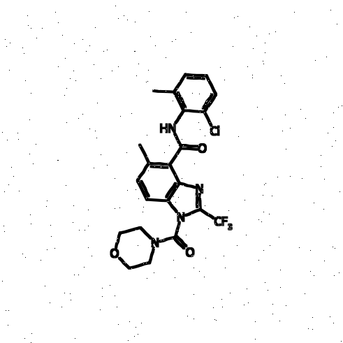 Cc1cccc(Cl)c1NC(=O)c1c(C)ccc2c1nc(C(F)(F)F)n2C(=O)N1CCOCC1